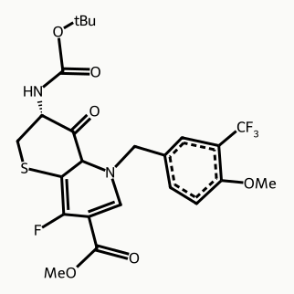 COC(=O)C1=CN(Cc2ccc(OC)c(C(F)(F)F)c2)C2C(=O)[C@@H](NC(=O)OC(C)(C)C)CSC2=C1F